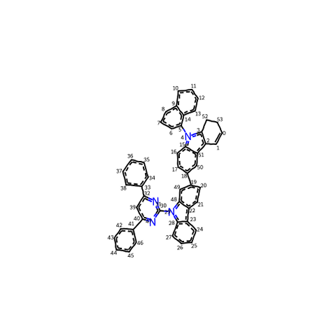 C1=Cc2c(n(-c3cccc4ccccc34)c3ccc(-c4ccc5c6ccccc6n(-c6nc(-c7ccccc7)cc(-c7ccccc7)n6)c5c4)cc23)CC1